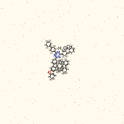 CC1(C)c2ccccc2-c2ccc(-c3nc(-c4ccc(-c5ccccc5)cc4)nc(-c4ccc5c(c4)C4(c6cc7c(cc6-5)oc5ccccc57)c5ccccc5C5(c6ccccc6-c6ccccc65)c5ccccc54)n3)cc21